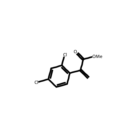 C=C(C(=O)OC)c1ccc(Cl)cc1Cl